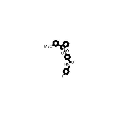 COc1cccc(-c2cn(S(=O)(=O)c3ccc(C(=O)NCc4ccc(F)cc4)cc3)c3ccccc23)c1